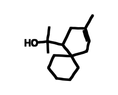 CC1=CCC2(CCCCC2)C(C(C)(C)O)C1